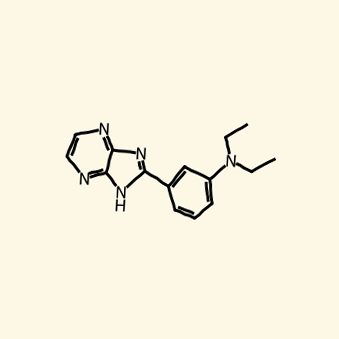 CCN(CC)c1cccc(-c2nc3nccnc3[nH]2)c1